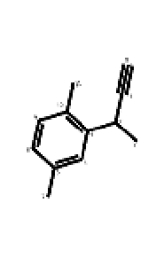 [C]#CC(C)c1cc(C)ccc1C